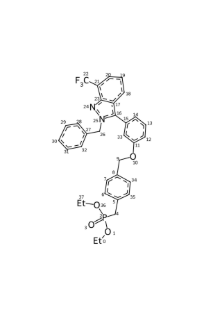 CCOP(=O)(Cc1ccc(COc2cccc(-c3c4cccc(C(F)(F)F)c4nn3Cc3ccccc3)c2)cc1)OCC